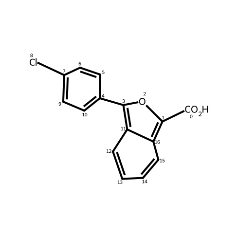 O=C(O)c1oc(-c2ccc(Cl)cc2)c2ccccc12